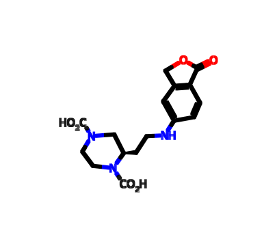 O=C1OCc2cc(NCC[C@@H]3CN(C(=O)O)CCN3C(=O)O)ccc21